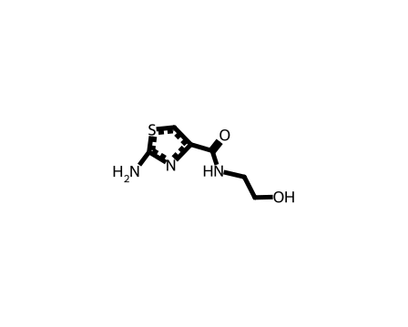 Nc1nc(C(=O)NCCO)cs1